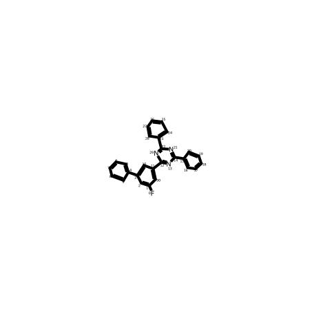 Fc1cc(-c2ccccc2)cc(-c2nc(-c3ccccc3)nc(-c3ccccc3)n2)c1